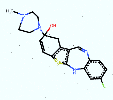 CN1CCN(C2(O)C=Cc3sc4c(c3C2)C=Nc2ccc(F)cc2N4)CC1